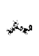 O=C(O)C(Cc1ccccc1)Sc1ccc(-c2nc(CC(Cl)(Cl)Cl)nc(CC(Cl)(Cl)Cl)n2)cc1